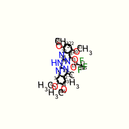 COc1cc2nc(Nc3nc(OC(=O)C(F)(F)F)c4c(OC)ccc(OC)c4n3)nc(C)c2cc1OC